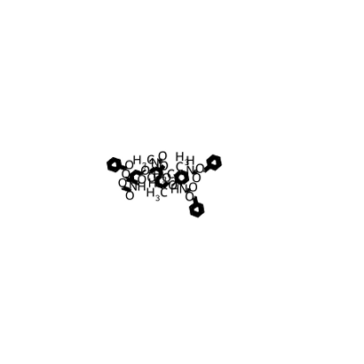 CC1C[C@@H]2OC(O[C@@H]3C[C@@H](OC(=O)c4ccccc4)C4(COCC(=O)N4)CO3)C3C(OC(=O)N3C)C2O[C@@H]1O[C@@H]1C(NC(=O)OCc2ccccc2)C[C@@H](NC(=O)OCc2ccccc2)C(C)[C@H]1C